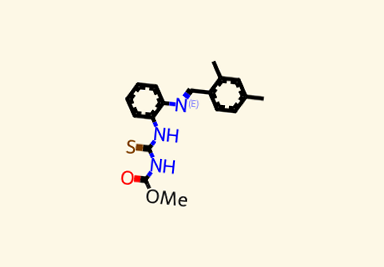 COC(=O)NC(=S)Nc1ccccc1/N=C/c1ccc(C)cc1C